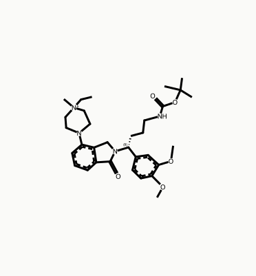 CC[N+]1(C)CCN(c2cccc3c2CN([C@H](CCCNC(=O)OC(C)(C)C)c2ccc(OC)c(OC)c2)C3=O)CC1